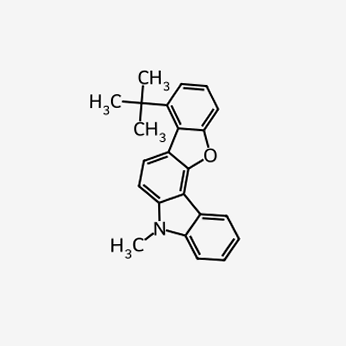 Cn1c2ccccc2c2c3oc4cccc(C(C)(C)C)c4c3ccc21